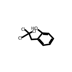 Oc1ccccc1CC(Cl)(Cl)Cl